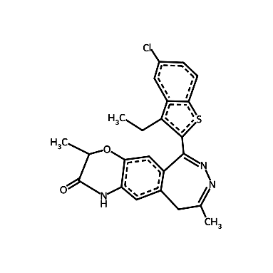 CCc1c(C2=NN=C(C)Cc3cc4c(cc32)OC(C)C(=O)N4)sc2ccc(Cl)cc12